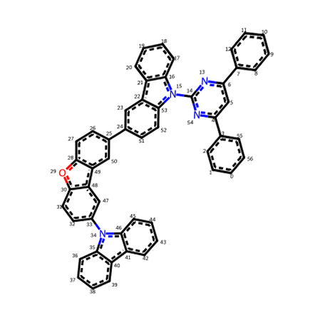 c1ccc(-c2cc(-c3ccccc3)nc(-n3c4ccccc4c4cc(-c5ccc6oc7ccc(-n8c9ccccc9c9ccccc98)cc7c6c5)ccc43)n2)cc1